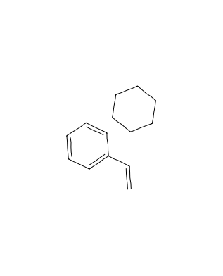 C1CCCCC1.C=Cc1ccccc1